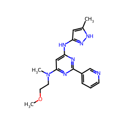 COCCN(C)c1cc(Nc2cc(C)[nH]n2)nc(-c2cccnc2)n1